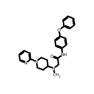 CN(CC(=O)Nc1ccc(Oc2ccccc2)cc1)C1CCN(c2ccccn2)CC1